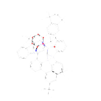 CC(C)(C)C1=CC(C(C)(C)C)CC(c2cccc(-c3cc(C(C)(C)C)cc(C(C)(C)C)c3)c2[N+]23c4ccccc4[N+]24c2cccc5c2[N+]2(c6c(ccc7c8ccccc8n(c67)-c6cccc[n+]62)-c2cc(C(C)(C)C)c(C(C)(C)C)cc2-5)C43)=C1